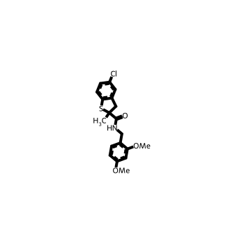 COc1ccc(CNC(=O)C2(C)Cc3cc(Cl)ccc3S2)c(OC)c1